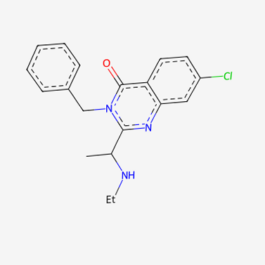 CCNC(C)c1nc2cc(Cl)ccc2c(=O)n1Cc1ccccc1